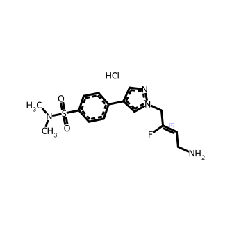 CN(C)S(=O)(=O)c1ccc(-c2cnn(C/C(F)=C/CN)c2)cc1.Cl